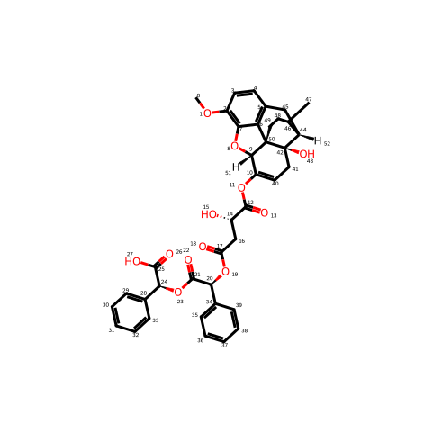 COc1ccc2c3c1O[C@H]1C(OC(=O)[C@@H](O)CC(=O)O[C@H](C(=O)O[C@H](C(=O)O)c4ccccc4)c4ccccc4)=CC[C@@]4(O)[C@@H](C2)C(C)CC[C@]314